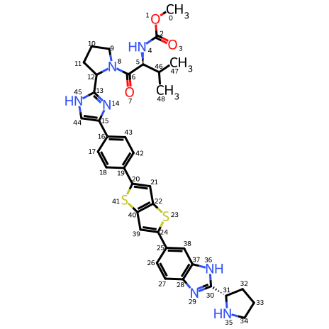 COC(=O)N[C@H](C(=O)N1CCCC1c1nc(-c2ccc(-c3cc4sc(-c5ccc6nc([C@@H]7CCCN7)[nH]c6c5)cc4s3)cc2)c[nH]1)C(C)C